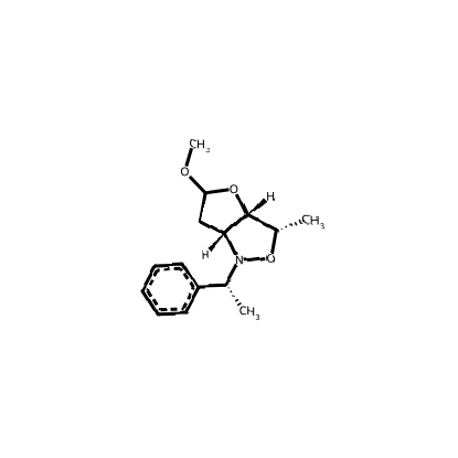 COC1C[C@@H]2[C@H](O1)[C@H](C)ON2[C@H](C)c1ccccc1